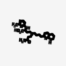 NC(=O)CCN(CCCCc1ccc2c(n1)NCCC2)CC[C@H](Nc1ccnc(C(F)(F)F)n1)C(=O)O